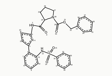 O=C(Nc1nc(-c2ccccc2NS(=O)(=O)c2ccccc2)cs1)C1CCCN1C(=O)OCc1ccccc1